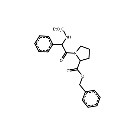 CCOC(=O)NC(C(=O)N1CCCC1C(=O)OCc1ccccc1)c1ccccc1